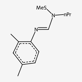 CCCN(C=Nc1ccc(C)cc1C)SC